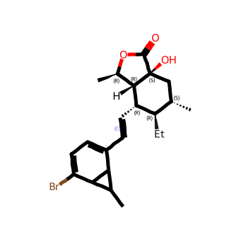 CC[C@H]1[C@H](/C=C/C2=CC=C(Br)C3C(C)C23)[C@@H]2[C@@H](C)OC(=O)[C@]2(O)C[C@@H]1C